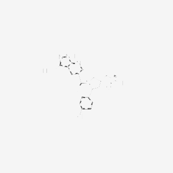 Cc1n[nH]c2ncc(C(=O)N3C[C@@H](CS(C)(=O)=O)CC3c3ccc(Cl)cc3)cc12